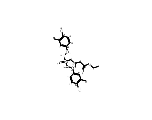 CCOC(=O)CNCP(=O)(OOc1ccc(Cl)c(C)c1)OOc1ccc(Cl)c(C)c1